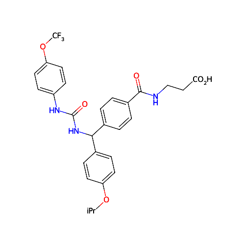 CC(C)Oc1ccc(C(NC(=O)Nc2ccc(OC(F)(F)F)cc2)c2ccc(C(=O)NCCC(=O)O)cc2)cc1